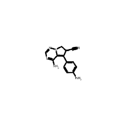 N#CC1CN2N=CN=C(N)C2=C1c1ccc(N)cc1